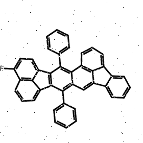 Fc1ccc2c3c(-c4ccccc4)c4c(cc5c6ccccc6c6cccc4c65)c(-c4ccccc4)c3c3cccc1c32